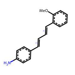 COc1ccccc1/C=C/C=C/c1ccc(N)cc1